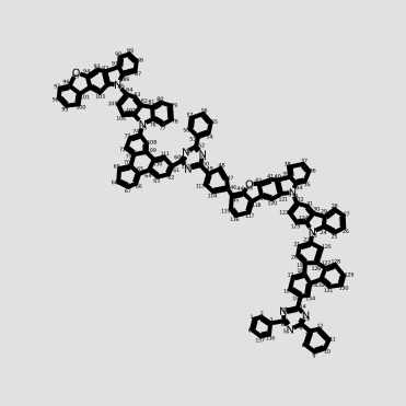 c1ccc(-c2nc(-c3ccccc3)nc(-c3ccc4c5ccc(-n6c7ccccc7c7cc(-n8c9ccccc9c9cc%10oc%11c(-c%12ccc(-c%13nc(-c%14ccccc%14)nc(-c%14ccc%15c%16ccccc%16c%16ccc(-n%17c%18ccccc%18c%18cc(-n%19c%20ccccc%20c%20cc%21oc%22ccccc%22c%21cc%20%19)ccc%18%17)cc%16c%15c%14)n%13)cc%12)cccc%11c%10cc98)ccc76)cc5c5ccccc5c4c3)n2)cc1